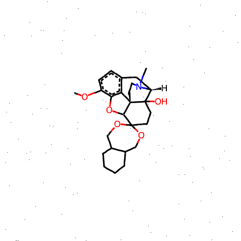 COc1ccc2c3c1OC1C4(CCC5(O)[C@@H](C2)N(C)CC[C@]315)OCC1CCCCC1CO4